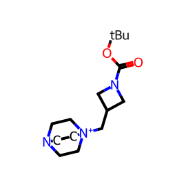 CC(C)(C)OC(=O)N1CC(C[N+]23CCN(CC2)CC3)C1